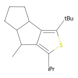 CC(C)c1sc(C(C)(C)C)c2c1C(C)C1CCCC21